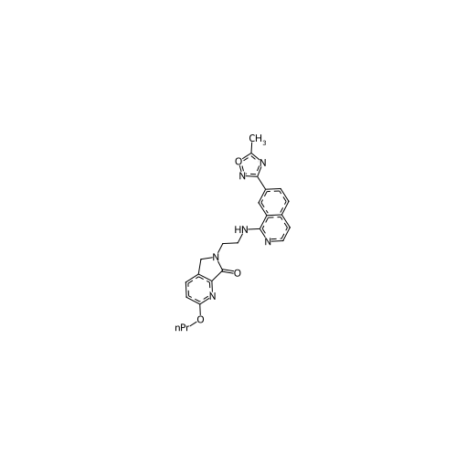 CCCOc1ccc2c(n1)C(=O)N(CCNc1nccc3ccc(-c4noc(C)n4)cc13)C2